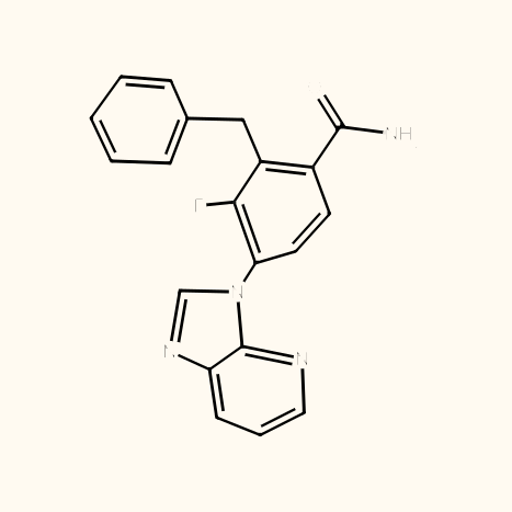 NC(=O)c1ccc(-n2cnc3cccnc32)c(F)c1Cc1ccccc1